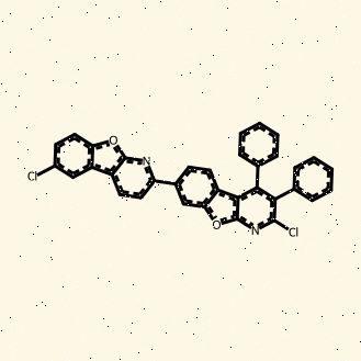 Clc1ccc2oc3nc(-c4ccc5c(c4)oc4nc(Cl)c(-c6ccccc6)c(-c6ccccc6)c45)ccc3c2c1